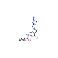 CNC(=O)N(C)c1cc(Br)c2c(c1)N(Cc1c[nH]cn1)CC2